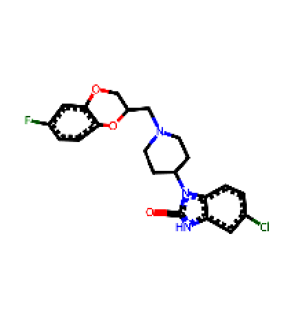 O=c1[nH]c2cc(Cl)ccc2n1C1CCN(CC2COc3cc(F)ccc3O2)CC1